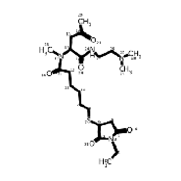 CCN1C(=O)CC(SCCCCCC(=O)N(C)C(CC(C)=O)C(=O)NCCN(C)C)C1=O